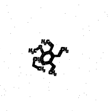 C=Cc1ccc(OC)c(C=C)c1C=C.CCC